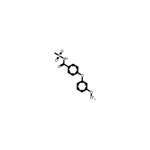 CS(=O)(=O)NC(=O)c1ccc(Oc2cccc(OC(F)(F)F)c2)cc1